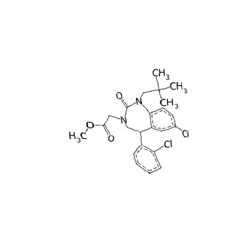 COC(=O)CN1CC(c2ccccc2Cl)c2cc(Cl)ccc2N(CC(C)(C)C)C1=O